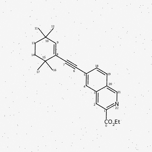 CCOC(=O)c1cc2cc(C#CC3=CC(C)(C)CCC3(C)C)ccc2cn1